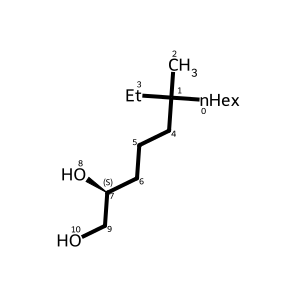 CCCCCCC(C)(CC)CCC[C@H](O)CO